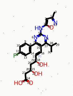 Cc1cc(Nc2nc(-c3ccc(F)cc3)c(/C=C/[C@@H](O)C[C@@H](O)CC(=O)O)c(C(C)C)n2)on1